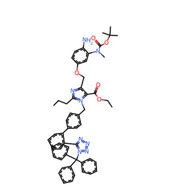 CCCc1nc(COc2ccc(N)c(N(C)C(=O)OC(C)(C)C)c2)c(C(=O)OCC)n1Cc1ccc(-c2ccccc2-c2nnnn2C(c2ccccc2)(c2ccccc2)c2ccccc2)cc1